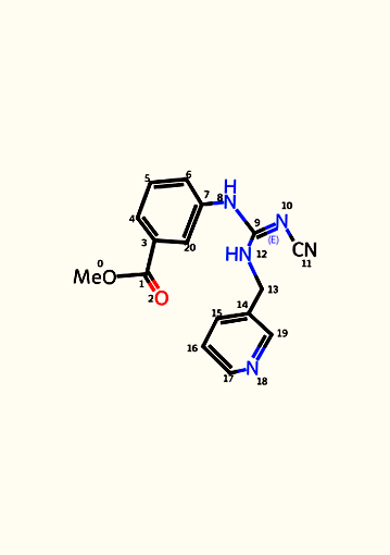 COC(=O)c1cccc(N/C(=N/C#N)NCc2cccnc2)c1